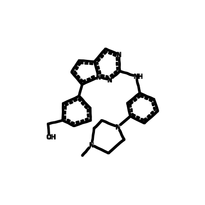 CN1CCN(c2cccc(Nc3ncc4ccc(-c5cccc(CO)c5)n4n3)c2)CC1